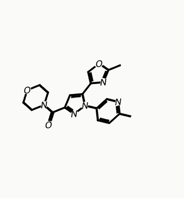 Cc1ccc(-n2nc(C(=O)N3CCOCC3)cc2-c2coc(C)n2)cn1